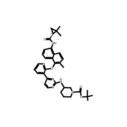 Cc1ccc2c(NC(=O)[C@H]3CC3(C)C)cccc2c1Oc1ncccc1-c1ccnc(NC2CCCN(C(=O)OC(C)(C)C)C2)n1